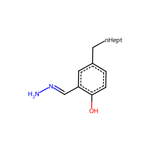 CCCCCCCCc1ccc(O)c(C=NN)c1